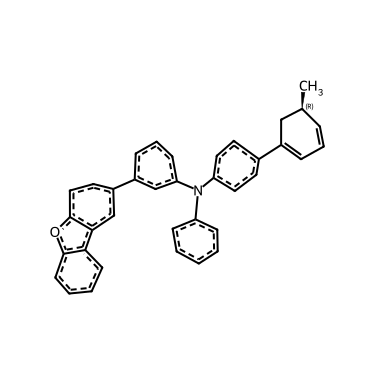 C[C@H]1C=CC=C(c2ccc(N(c3ccccc3)c3cccc(-c4ccc5oc6ccccc6c5c4)c3)cc2)C1